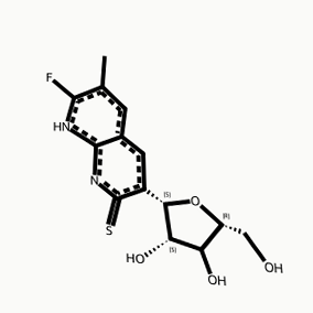 Cc1cc2cc([C@@H]3O[C@H](CO)C(O)[C@@H]3O)c(=S)nc-2[nH]c1F